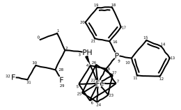 CCC(P[C@@]12[CH]3[CH]4[CH]5[C]1(P(c1ccccc1)c1ccccc1)[Fe]45321678[CH]2[CH]1[CH]6[CH]7[CH]28)C(F)CCF